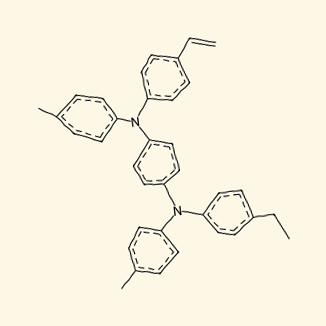 C=Cc1ccc(N(c2ccc(C)cc2)c2ccc(N(c3ccc(C)cc3)c3ccc(CC)cc3)cc2)cc1